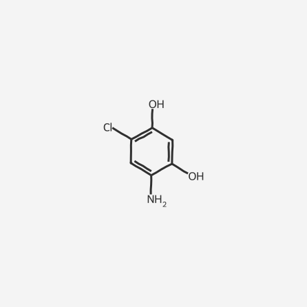 Nc1cc(Cl)c(O)cc1O